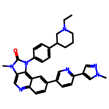 CCN1CCCC(c2ccc(-n3c(=O)n(C)c4cnc5ccc(-c6ccc(-c7cnn(C)c7)nc6)cc5c43)cc2)C1